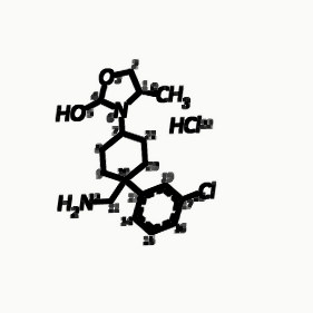 C[C@@H]1COC(O)N1C1CCC(CN)(c2cccc(Cl)c2)CC1.Cl